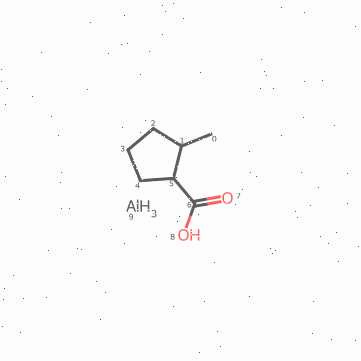 CC1CCCC1C(=O)O.[AlH3]